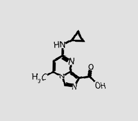 Cc1cc(NC2CC2)nc2c(C(=O)O)ncn12